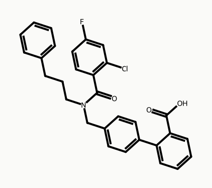 O=C(O)c1ccccc1-c1ccc(CN(CCCc2ccccc2)C(=O)c2ccc(F)cc2Cl)cc1